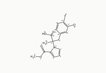 COC(=O)c1cccn1C(C)(Cc1ccc(F)c(Cl)c1)C(=O)O